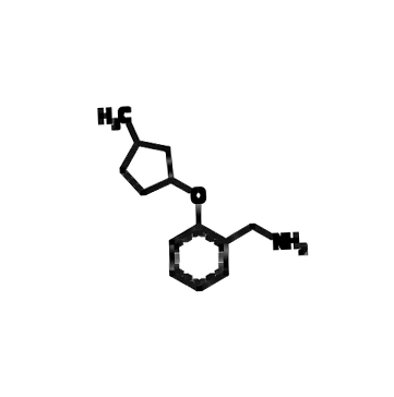 CC1CCC(Oc2ccccc2CN)C1